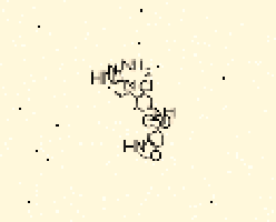 Nc1n[nH]c2ccc(-c3ccc(NS(=O)(=O)c4ccc5c(c4)NCCO5)cc3Cl)nc12